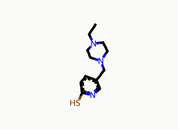 CCN1CCN(Cc2ccc(S)nc2)CC1